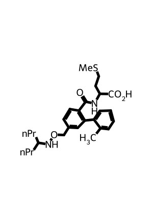 CCCC(CCC)NOCc1ccc(C(=O)NC(CCSC)C(=O)O)c(-c2ccccc2C)c1